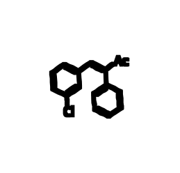 CC(=O)C(=Cc1cccc(Cl)c1)c1ccccc1